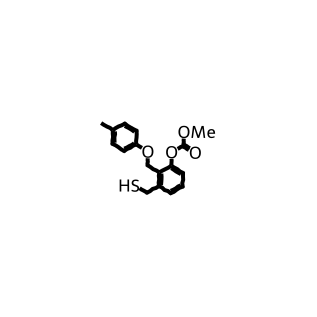 COC(=O)Oc1cccc(CS)c1COc1ccc(C)cc1